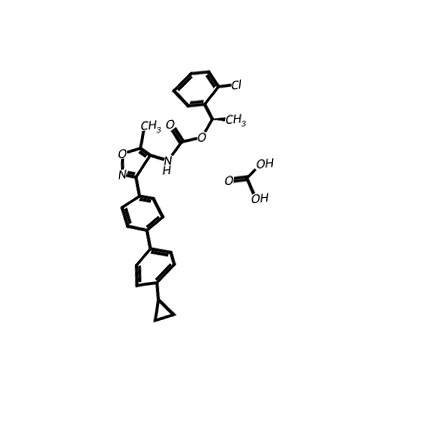 Cc1onc(-c2ccc(-c3ccc(C4CC4)cc3)cc2)c1NC(=O)O[C@H](C)c1ccccc1Cl.O=C(O)O